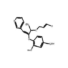 COc1ccc(OC(=Cc2cccnc2)C(OCC=CCl)C(C)(C)C)c(OC)c1